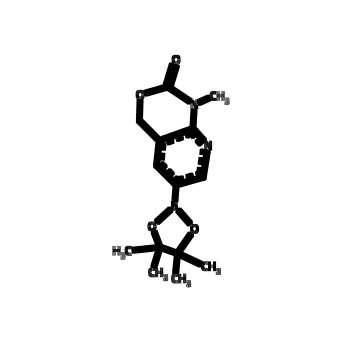 CN1C(=O)OCc2cc(B3OC(C)(C)C(C)(C)O3)cnc21